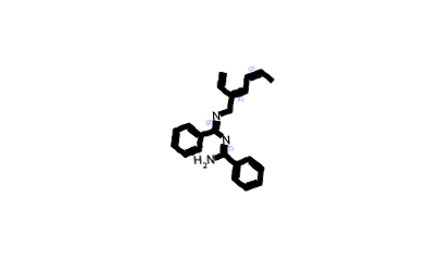 C=C/C(=C\C=C/C)C/N=C(\N=C(/N)c1ccccc1)c1ccccc1